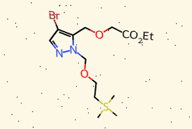 CCOC(=O)COCc1c(Br)cnn1COCCS(C)(C)C